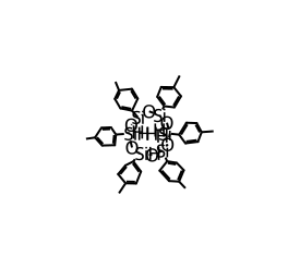 Cc1ccc([SiH]2O[SiH](c3ccc(C)cc3)O[SiH](c3ccc(C)cc3)O[SiH](c3ccc(C)cc3)O[SiH](c3ccc(C)cc3)O[SiH](c3ccc(C)cc3)O2)cc1